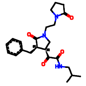 CC(C)CNC(=O)C(=O)[C@H]1CN(CCN2CCCC2=O)C(=O)[C@@H]1Cc1ccccc1